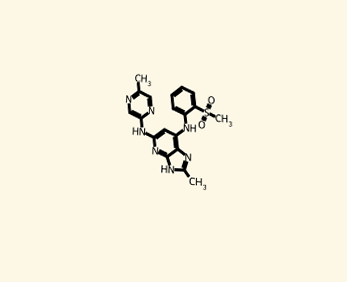 Cc1cnc(Nc2cc(Nc3ccccc3S(C)(=O)=O)c3nc(C)[nH]c3n2)cn1